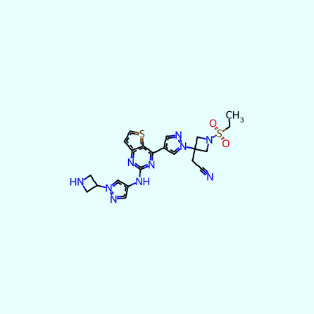 CCS(=O)(=O)N1CC(CC#N)(n2cc(-c3nc(Nc4cnn(C5CNC5)c4)nc4ccsc34)cn2)C1